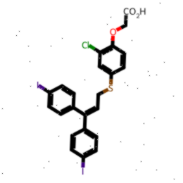 O=C(O)COc1ccc(SCC=C(c2ccc(I)cc2)c2ccc(I)cc2)cc1Cl